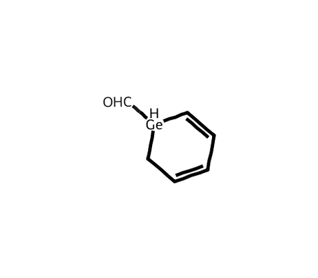 O=[CH][GeH]1[CH]=CC=C[CH2]1